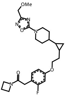 COCc1noc(N2CCC(C3CC3CCOc3ccc(CC(=O)N4CCC4)c(F)c3)CC2)n1